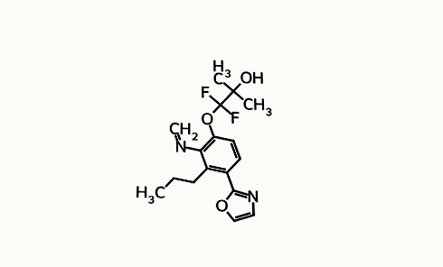 C=Nc1c(OC(F)(F)C(C)(C)O)ccc(-c2ncco2)c1CCC